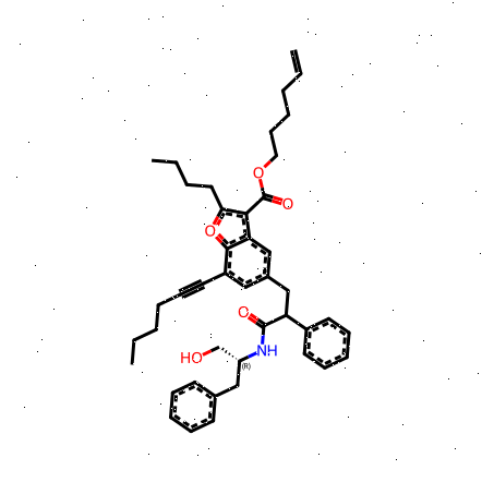 C=CCCCCOC(=O)c1c(CCCC)oc2c(C#CCCCC)cc(CC(C(=O)N[C@@H](CO)Cc3ccccc3)c3ccccc3)cc12